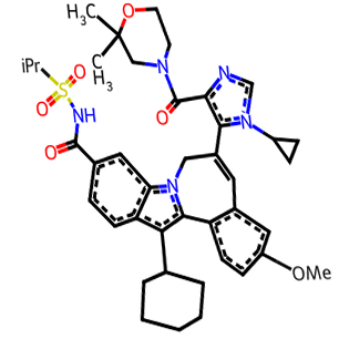 COc1ccc2c(c1)C=C(c1c(C(=O)N3CCOC(C)(C)C3)ncn1C1CC1)Cn1c-2c(C2CCCCC2)c2ccc(C(=O)NS(=O)(=O)C(C)C)cc21